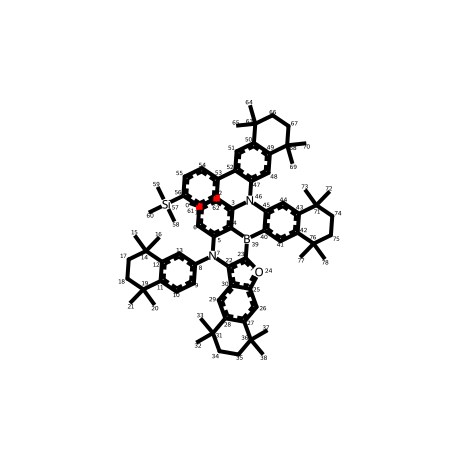 Cc1cc2c3c(c1)N(c1ccc4c(c1)C(C)(C)CCC4(C)C)c1c(oc4cc5c(cc14)C(C)(C)CCC5(C)C)B3c1cc3c(cc1N2c1cc2c(cc1-c1ccc([Si](C)(C)C)cc1)C(C)(C)CCC2(C)C)C(C)(C)CCC3(C)C